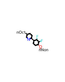 CCCCCCCCCOc1ccc(-c2ccc(CCCCCCCC)cn2)c(F)c1F